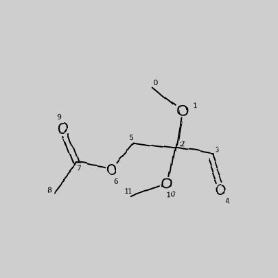 COC(C=O)(COC(C)=O)OC